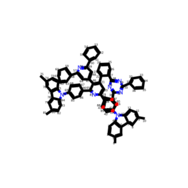 Cc1ccc2c(c1)c1cc(C)ccc1n2-c1ccc(-c2cc(-c3ccccc3-c3nc(-c4ccccc4)nc(-c4ccccc4)n3)c(-c3cc(-c4ccccc4)nc(-c4ccccc4)c3)c(-c3ccc(-n4c5ccc(C)cc5c5cc(C)ccc54)cc3)n2)cc1